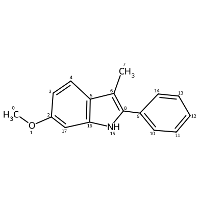 COc1ccc2c(C)c(-c3ccccc3)[nH]c2c1